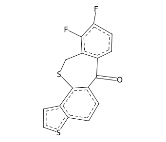 O=C1c2ccc(F)c(F)c2CSc2c1ccc1sccc21